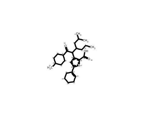 CCCC(CC(C)C)C(C(=O)C1CCC(C)CC1)c1cc(C2=CCCCC2)sc1C(=O)O